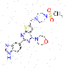 CS(=O)(=O)N1CCN(Cc2cc3c(N4CCOCC4)nc(-c4ccc5[nH]cnc5c4)nc3s2)CC1